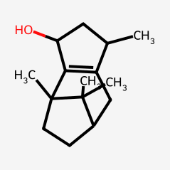 CC1CC(O)C2=C1CC1CCC2(C)C1(C)C